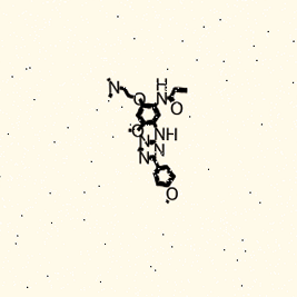 C=CC(=O)Nc1cc(Nc2ncnc(-c3ccc(OC)cc3)n2)c(OC)cc1OCCN(C)C